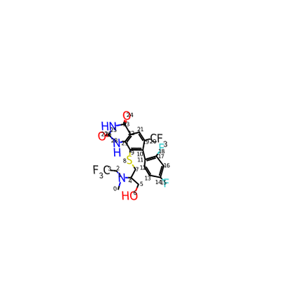 CN(CC(F)(F)F)C(CO)CSc1c(-c2ccc(F)cc2F)c(C(F)(F)F)cc2c(=O)[nH]c(=O)[nH]c12